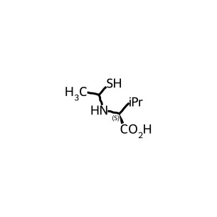 CC(S)N[C@H](C(=O)O)C(C)C